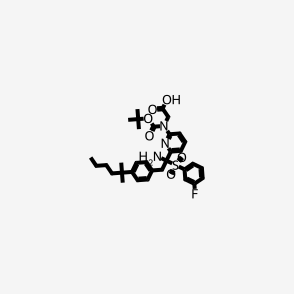 CCCCC(C)(C)c1ccc(CC(N)(c2cccc(N(CC(=O)O)C(=O)OC(C)(C)C)n2)S(=O)(=O)c2cccc(F)c2)cc1